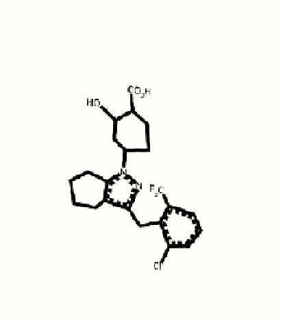 O=C(O)C1CCC(n2nc(Cc3c(Cl)cccc3C(F)(F)F)c3c2CCCC3)CC1O